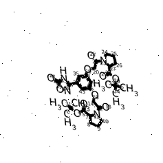 CC(C)(C)OC(=O)C1CCCN1C(=O)COc1cc(OCC(=O)N2CCCC2C(=O)OC(C)(C)C)cc(-c2noc(=O)[nH]2)c1